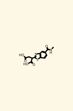 CNC(=O)c1ccc2sc(C(CC(=O)O)C(=O)O)nc2c1